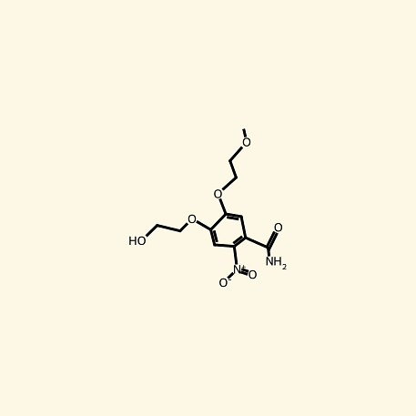 COCCOc1cc(C(N)=O)c([N+](=O)[O-])cc1OCCO